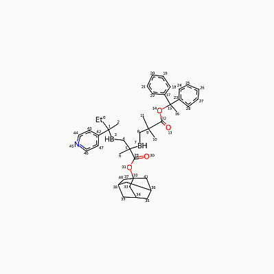 CCC(C)(BCC(C)(BCC(C)(C)C(=O)OC(C)(c1ccccc1)c1ccccc1)C(=O)OC12CC3CC(CC(C3)C1)C2)c1ccncc1